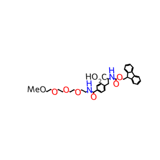 COCCOCCOCCOCCNC(=O)c1ccc(CC(NC(=O)OCC2c3ccccc3-c3ccccc32)C(=O)O)cc1